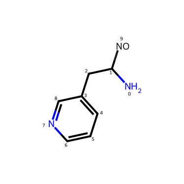 NC(Cc1cccnc1)N=O